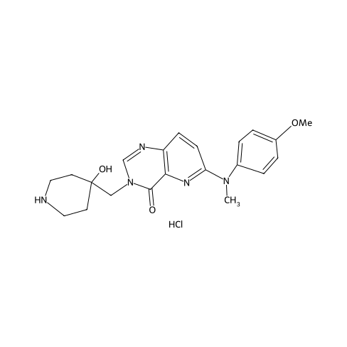 COc1ccc(N(C)c2ccc3ncn(CC4(O)CCNCC4)c(=O)c3n2)cc1.Cl